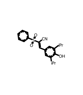 CC(C)c1cc(/C=C(\C#N)S(=O)(=O)c2ccccc2)cc(C(C)C)c1O